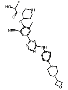 Cc1cc(-c2ncnc(Nc3ccc(N4CCN(C5COC5)CC4)cc3)n2)cc(C#N)c1O[C@H]1CCNC[C@H]1C(=O)[C@@H](O)F